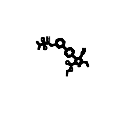 CCOC(=O)c1sc(CC)c(C#N)c1-c1ccc(-c2cccc(CNS(=O)(=O)C(C)C)c2)cc1